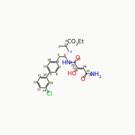 CCOC(=O)[C@H](C)C[C@@H](Cc1ccc(-c2cccc(Cl)c2)cc1)NC(=O)/C(O)=C/C(N)=O